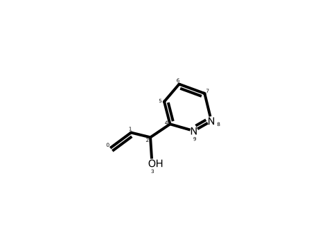 C=CC(O)c1cccnn1